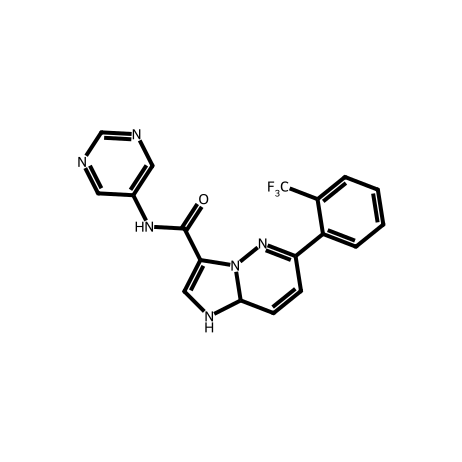 O=C(Nc1cncnc1)C1=CNC2C=CC(c3ccccc3C(F)(F)F)=NN12